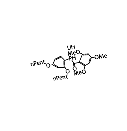 CCCCCOc1ccc(PC(=O)c2c(OC)cc(OC)cc2OC)c(OCCCCC)c1.[LiH]